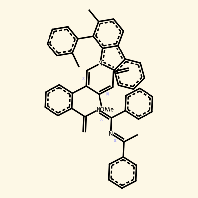 C=C/C=C(OC)\C(=C/n1c2ccccc2c2ccc(C)c(-c3ccccc3C)c21)c1ccccc1C(=C)/N=C(\N=C(/C)c1ccccc1)c1ccccc1